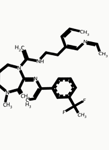 C=C1/C(=N\C(=C/C)c2cccc(C(C)(F)F)c2)N(C(=C)NCCC(/C=C\C)=C/N=C\C)CCCN1C